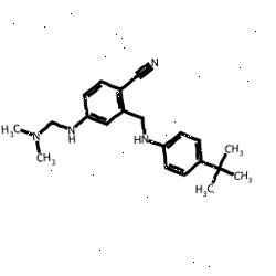 CN(C)CNc1ccc(C#N)c(CNc2ccc(C(C)(C)C)cc2)c1